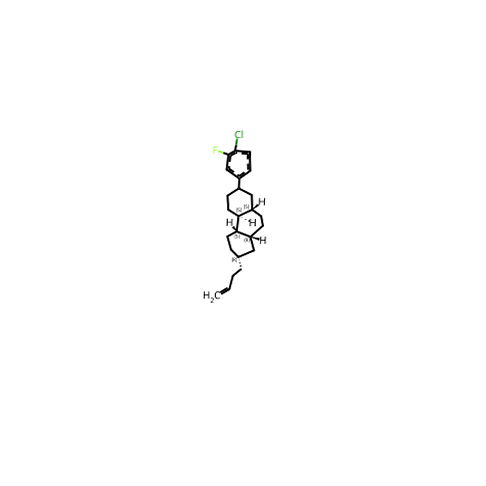 C=CCC[C@@H]1CC[C@H]2[C@H](CC[C@H]3CC(c4ccc(Cl)c(F)c4)CC[C@@H]32)C1